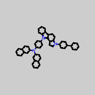 c1ccc(-c2ccc(-n3ccc4c3ccc3c5ccccc5n(-c5ccc(N(c6ccc7ccccc7c6)c6ccc7ccccc7c6)cc5)c34)cc2)cc1